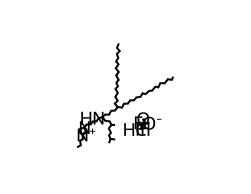 CCCCCCCCCCCCCCCCCCC(CCCCCCCCCCCCCCCCCC)CCCCC(CCC(C)CCCC(C)C)NCCCCn1cc[n+](CCCC)c1.Cl.O=C([O-])C(F)(F)F